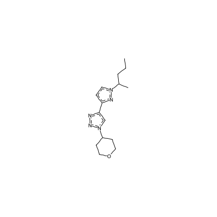 CCCC(C)n1ccc(-c2cn(C3CCOCC3)nn2)n1